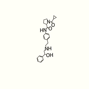 O=C(Nc1ccc(CCNCC(O)c2ccccc2)cc1)C1CCCN1C(=O)C1CC1